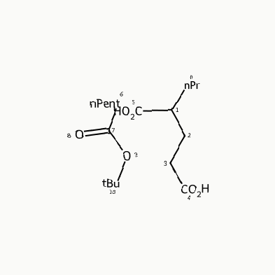 CCCC(CCC(=O)O)C(=O)O.CCCCCC(=O)OC(C)(C)C